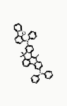 Cc1c2c3c(cccc3c3cc(N(c4ccccc4)c4ccccc4)ccc13)C(C)(C)c1cc(N(c3ccccc3)c3cccc4c3oc3ccccc34)ccc1-2